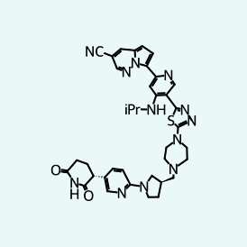 CC(C)Nc1cc(-c2ccc3cc(C#N)cnn23)ncc1-c1nnc(N2CCN(C[C@H]3CCN(c4ccc([C@H]5CCC(=O)NC5=O)cn4)C3)CC2)s1